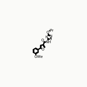 COc1cccc(-c2cc(C(=O)Nc3nc(OC(C)C)ns3)co2)c1